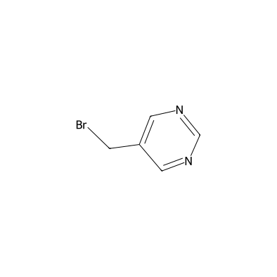 BrCc1cncnc1